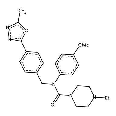 CCN1CCN(C(=O)N(Cc2ccc(-c3nnc(C(F)(F)F)o3)cc2)c2ccc(OC)cc2)CC1